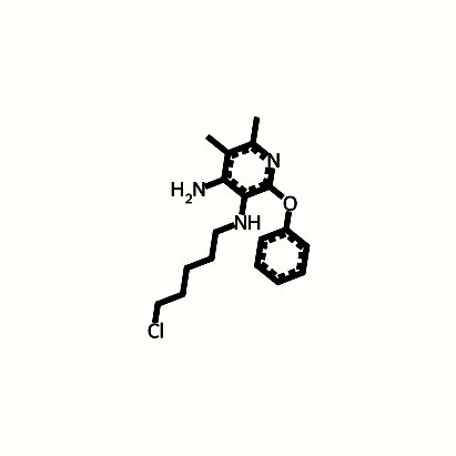 Cc1nc(Oc2ccccc2)c(NCCCCCCl)c(N)c1C